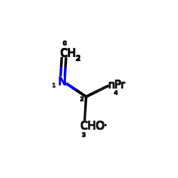 C=NC([C]=O)CCC